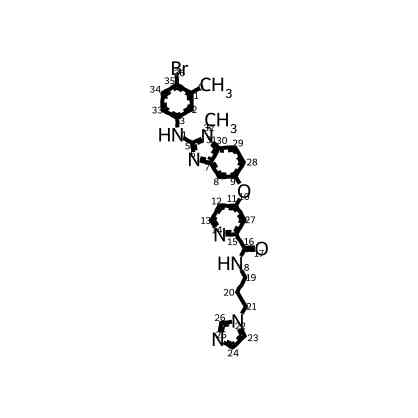 Cc1cc(Nc2nc3cc(Oc4ccnc(C(=O)NCCCn5ccnc5)c4)ccc3n2C)ccc1Br